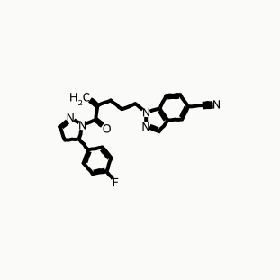 C=C(CCCn1ncc2cc(C#N)ccc21)C(=O)N1N=CCC1c1ccc(F)cc1